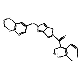 C/C=C\C(=C(/C)Cl)C(CO)C(=O)N1Cc2cn(Sc3cnc4c(c3)OCCO4)nc2C1